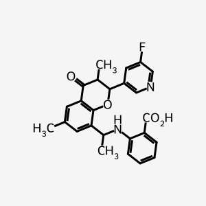 Cc1cc2c(c(C(C)Nc3ccccc3C(=O)O)c1)OC(c1cncc(F)c1)C(C)C2=O